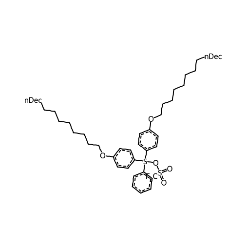 CCCCCCCCCCCCCCCCCCOc1ccc(S(OS(=O)(=O)C(F)(F)F)(c2ccccc2)c2ccc(OCCCCCCCCCCCCCCCCCC)cc2)cc1